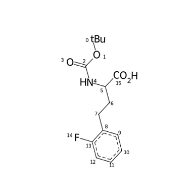 CC(C)(C)OC(=O)NC(CCc1ccccc1F)C(=O)O